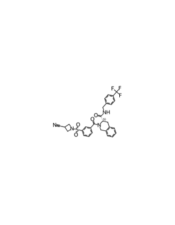 N#CC1CN(S(=O)(=O)c2cccc(C(=O)N3Cc4ccccc4C[C@H]3C(=O)NCc3ccc(C(F)(F)F)cc3)c2)C1